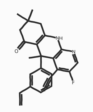 C=Cc1cccc(C2(C)C3=C(CC(C)(C)CC3=O)Nc3ncc(F)c(C#N)c32)c1